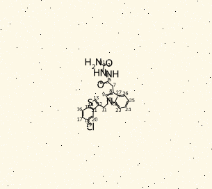 NC(=O)NNC(=O)Cc1cn(Cc2csc3ccc(Cl)cc23)c2ccccc12